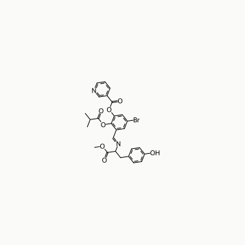 COC(=O)C(Cc1ccc(O)cc1)N=Cc1cc(Br)cc(OC(=O)c2cccnc2)c1OC(=O)C(C)C